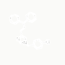 Clc1ccc(Cn2cnc(CCC(c3ccccc3)c3ccccc3)c2)cc1